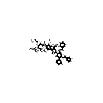 CO[C@@H]1[C@@H](OC(N)=O)[C@@H](O)[C@H](Oc2ccc3c(O)c(NC(=O)c4cc(-c5ccccc5)c(CCc5ccccc5)cc4OCc4ccccc4)c(=O)oc3c2C)OC1(C)C